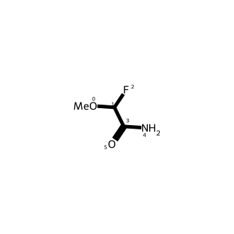 COC(F)C(N)=O